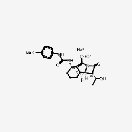 COc1ccc(NC(=O)N[C@H]2CCC[C@H]3C2=C(C(=O)[O-])N2C(=O)[C@H](C(C)O)[C@@H]32)cc1.[Na+]